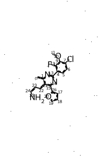 C=c1nc(-c2ccc(Cl)c(OC)c2F)nc(-c2ccco2)/c1=C/C=C\N